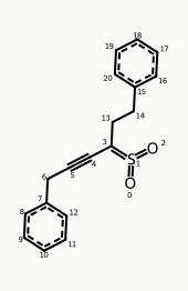 O=S(=O)=C(C#CCc1ccccc1)CCc1ccccc1